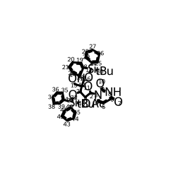 CC(=O)OC1C(n2ccc(=O)[nH]c2=O)OC(CO)(CO[Si](c2ccccc2)(c2ccccc2)C(C)(C)C)C1O[Si](c1ccccc1)(c1ccccc1)C(C)(C)C